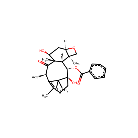 CC(=O)O[C@H]1C(=O)[C@@]2(C)[C@H]([C@H](OC(=O)c3ccccc3)[C@]3(O)C[C]C(C)=C1C3(C)C)[C@]1(OC(C)=O)CO[C@@H]1C[C@@H]2O